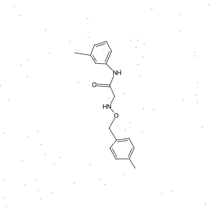 Cc1ccc(CONCC(=O)Nc2cccc(C)c2)cc1